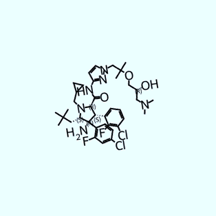 CN(C)C[C@@H](O)COC(C)(C)Cn1ccc(NC(=O)[C@H]2[C@H](c3cccc(Cl)c3F)[C@@](N)(c3ccc(Cl)cc3F)[C@H](CC(C)(C)C)N2CC2CC2)n1